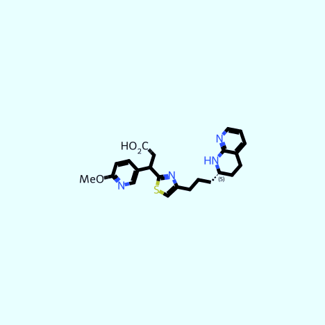 COc1ccc(C(CC(=O)O)c2nc(CCC[C@H]3CCc4cccnc4N3)cs2)cn1